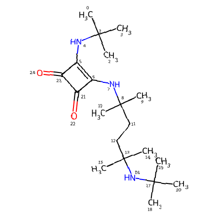 CC(C)(C)Nc1c(NC(C)(C)CCC(C)(C)NC(C)(C)C)c(=O)c1=O